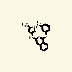 Cc1cccc(Sc2nc(Nc3cc(C)[nH]n3)cc3ccccc23)c1